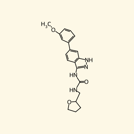 COc1cccc(-c2ccc3c(NC(=O)NCC4CCCO4)n[nH]c3c2)c1